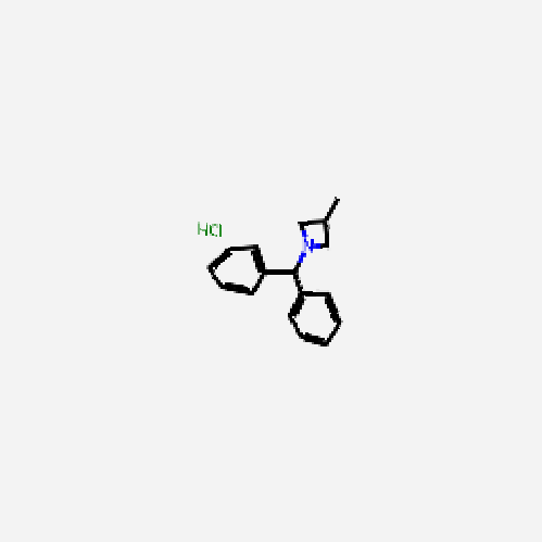 CC1CN(C(c2ccccc2)c2ccccc2)C1.Cl